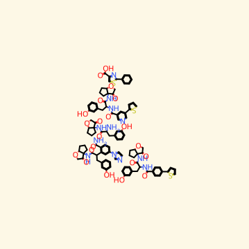 NC(=O)c1ccc(-n2ccnc2)cc1C(Cc1cccc(O)c1)C(=O)NC12CCCC1OCC2=O.NC(Cc1cccc(O)c1)C(=O)NC12CCCC1OCC2=O.O=C(NC(Cc1cccc(O)c1)C(=O)NC12CCCC1OCC2=O)c1ccc(-c2cccs2)cc1.O=C(NC(Cc1cccc(O)c1)C(=O)NC12CCCC1OCC2=O)c1cncc(-c2cccs2)c1.O=C(O)c1csc(-c2ccccc2)n1